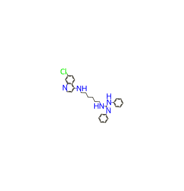 Clc1ccc2c(NCCCCCCN/C(=N\c3ccccc3)Nc3ccccc3)ccnc2c1